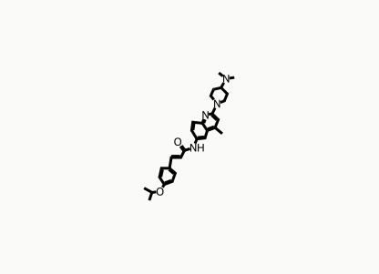 Cc1cc(N2CCC(N(C)C)CC2)nc2ccc(NC(=O)C=Cc3ccc(OC(C)C)cc3)cc12